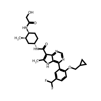 Cc1[nH]c2c(-c3cc(C(F)F)ccc3OCC3CC3)ncnc2c1C(=O)N[C@H]1CC[C@H](NC(=O)CO)[C@H](C)C1